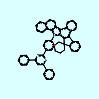 c1ccc(-c2cc(-c3ccccc3)nc(-c3ccc(-n4c5c6c(c7ccccc7c5c5ccc7ccccc7c54)-c4ccccc4C64CCCCC4)cc3)n2)cc1